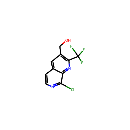 OCc1cc2ccnc(Cl)c2nc1C(F)(F)F